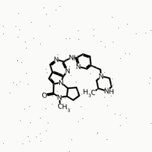 C[C@H]1CN(Cc2ccc(Nc3ncc4cc5n(c4n3)C3CCCC3N(C)C5=O)nc2)CCN1